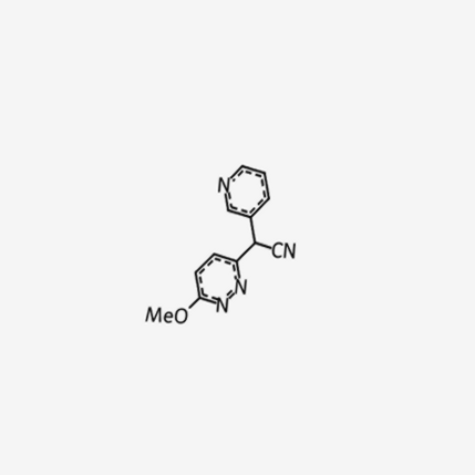 COc1ccc(C(C#N)c2cccnc2)nn1